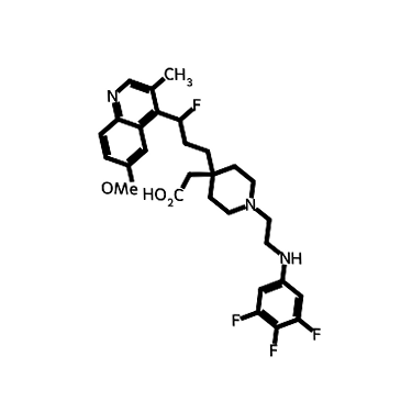 COc1ccc2ncc(C)c(C(F)CCC3(CC(=O)O)CCN(CCNc4cc(F)c(F)c(F)c4)CC3)c2c1